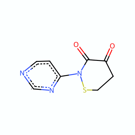 O=C1CCSN(c2ccn[c]n2)C1=O